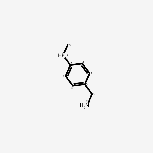 CPc1ccc(CN)cc1